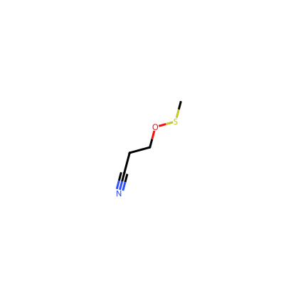 CSOCCC#N